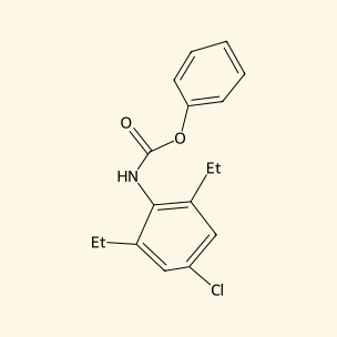 CCc1cc(Cl)cc(CC)c1NC(=O)Oc1ccccc1